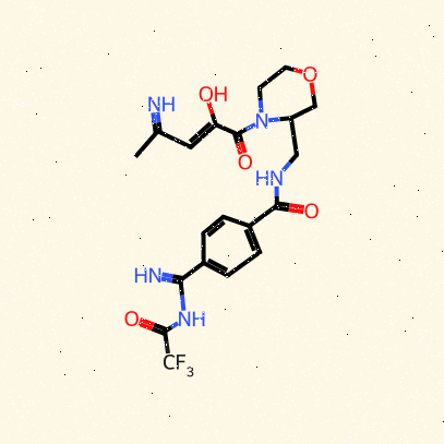 CC(=N)/C=C(\O)C(=O)N1CCOCC1CNC(=O)c1ccc(C(=N)NC(=O)C(F)(F)F)cc1